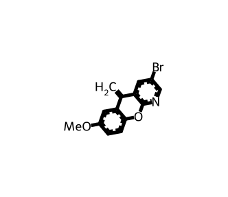 C=C1c2cc(OC)ccc2Oc2ncc(Br)cc21